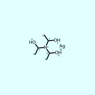 CC(O)N(C(C)O)C(C)O.[Ag]